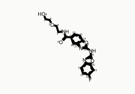 O=C(NCCOCCO)c1ccc2oc(Nc3nc4ccc(F)cc4o3)nc2c1